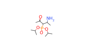 CC(=O)C(C(C)N)P(=O)(OC(C)C)OC(C)C